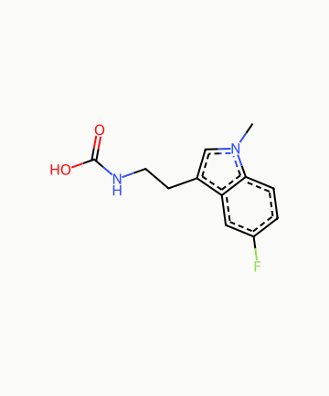 Cn1cc(CCNC(=O)O)c2cc(F)ccc21